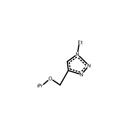 CCn1cc(COC(C)C)nn1